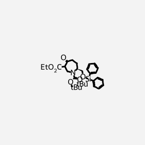 CCOC(=O)C1CN(C(=O)OC(C)(C)C)[C@H](CO[Si](c2ccccc2)(c2ccccc2)C(C)(C)C)CCC1=O